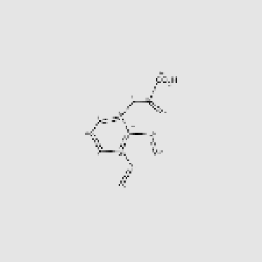 C=Cc1cccc(CC(=C)C(=O)O)c1C=C